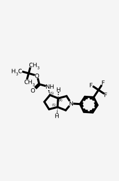 CC(C)(C)OC(=O)N[C@H]1CC[C@@H]2CN(c3cccc(C(F)(F)F)c3)C[C@@H]21